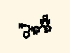 N#CCC(C1CCCC1)n1cc(-c2nc(Cl)nc3ccsc23)cn1